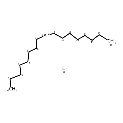 CCCCCCC[CH2][Al+][CH2]CCCCCCC.[H-]